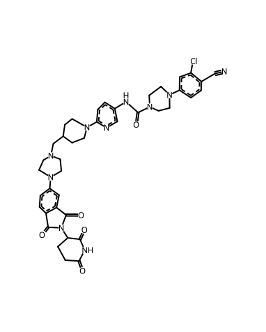 N#Cc1ccc(N2CCN(C(=O)Nc3ccc(N4CCC(CN5CCN(c6ccc7c(c6)C(=O)N(C6CCC(=O)NC6=O)C7=O)CC5)CC4)nc3)CC2)cc1Cl